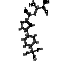 O=C(O)/C(O)=C/C(=O)c1ccc(-c2ccc(C(F)(F)F)cc2)s1